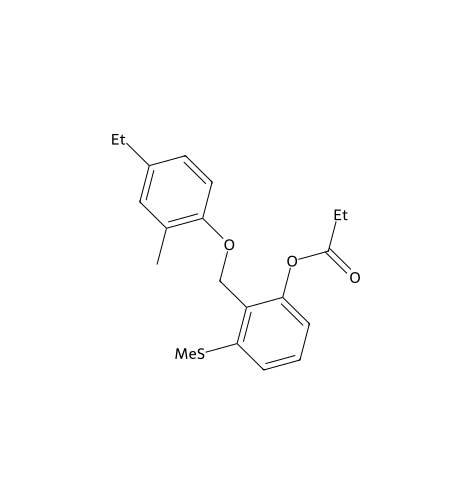 CCC(=O)Oc1cccc(SC)c1COc1ccc(CC)cc1C